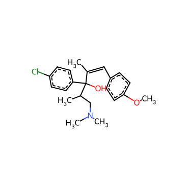 COc1ccc(C=C(C)C(O)(c2ccc(Cl)cc2)C(C)CN(C)C)cc1